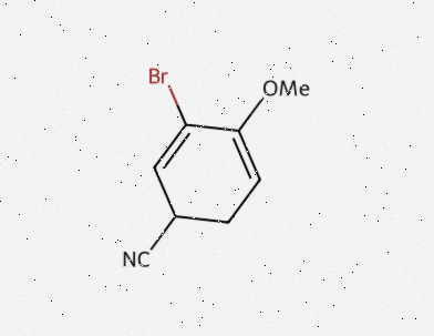 COC1=CCC(C#N)C=C1Br